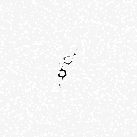 CC(=O)COc1ccc(NC2CCN(C(=O)OC(C)(C)C)CC2)cc1